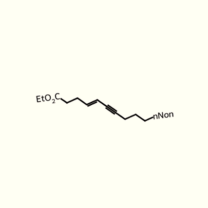 CCCCCCCCCCCCC#CC=CCCC(=O)OCC